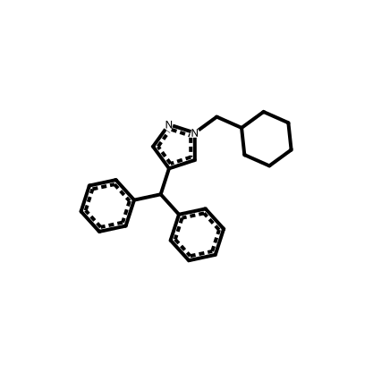 c1ccc(C(c2ccccc2)c2cnn(CC3CCCCC3)c2)cc1